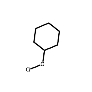 ClOC1CCCCC1